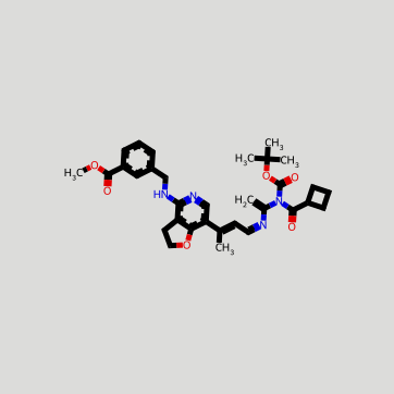 C=C(/N=C\C=C(/C)c1cnc(NCc2cccc(C(=O)OC)c2)c2c1OCC2)N(C(=O)OC(C)(C)C)C(=O)C1CCC1